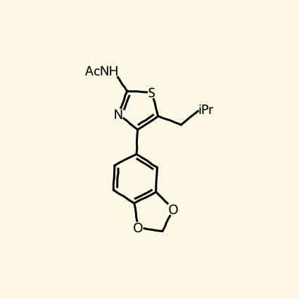 CC(=O)Nc1nc(-c2ccc3c(c2)OCO3)c(CC(C)C)s1